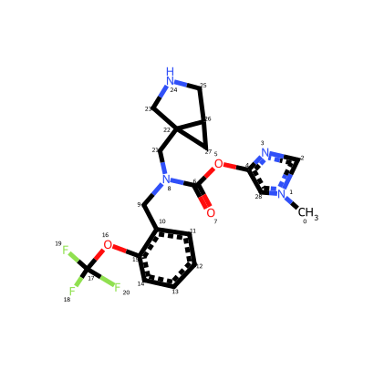 Cn1cnc(OC(=O)N(Cc2ccccc2OC(F)(F)F)CC23CNCC2C3)c1